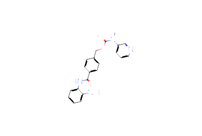 CN(C(=O)OCc1ccc(C(=O)Nc2ccccc2N)cc1)c1cccnc1